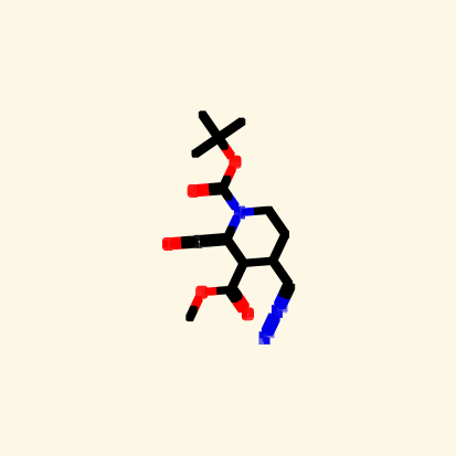 COC(=O)C1C(=C=O)N(C(=O)OC(C)(C)C)CCC1C=[N+]=[N-]